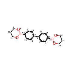 c1cc(-c2ccc(B3OCCCO3)cc2)ccc1B1OCCCO1